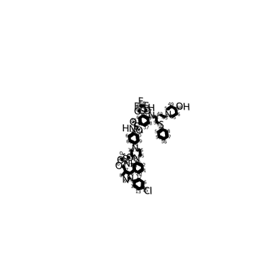 CS(=O)(=O)NC(=O)c1cnn(-c2ccc(Cl)cc2)c1-c1cccc(N2CCN(c3ccc(NS(=O)(=O)c4ccc(N[C@H](CCN5CCC(O)CC5)CSc5ccccc5)c(S(=O)(=O)C(F)(F)F)c4)cc3)CC2)c1